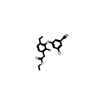 CCOC(=O)Cc1ccc(CC)c(Oc2cc(Cl)cc(C#N)c2)c1F